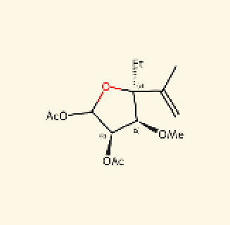 C=C(C)[C@]1(CC)OC(OC(C)=O)[C@H](OC(C)=O)[C@@H]1OC